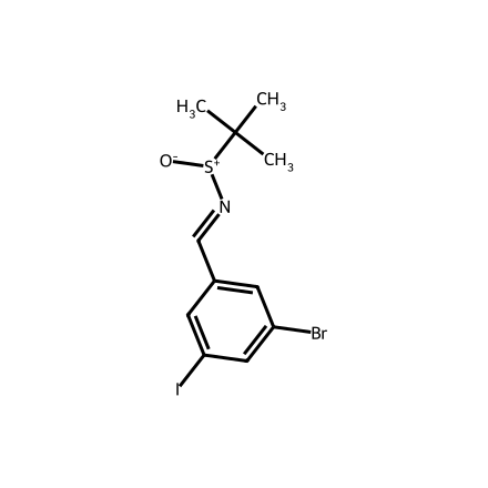 CC(C)(C)[S+]([O-])/N=C/c1cc(Br)cc(I)c1